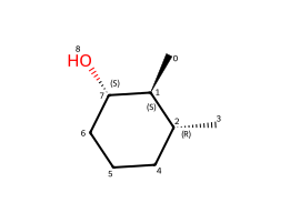 C[C@H]1[C@H](C)CCC[C@@H]1O